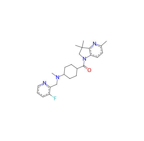 Cc1ccc2c(n1)C(C)(C)CN2C(=O)C1CCC(N(C)Cc2ncccc2F)CC1